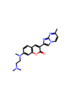 Cc1ccn2cc(-c3cc4ccc(N(C)CCN(C)C)cc4oc3=O)nc2n1